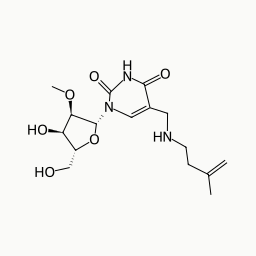 C=C(C)CCNCc1cn([C@@H]2O[C@H](CO)[C@@H](O)[C@H]2OC)c(=O)[nH]c1=O